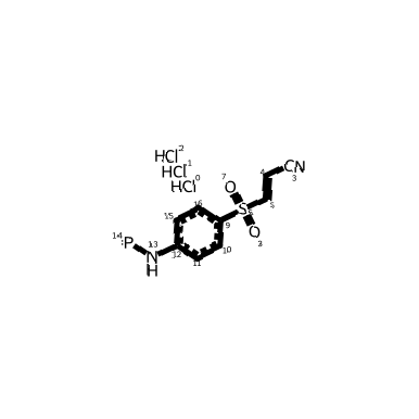 Cl.Cl.Cl.N#CC=CS(=O)(=O)c1ccc(N[P])cc1